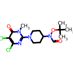 Cn1c(N2CCC(N(C=O)OC(C)(C)C)CC2)nc(Cl)c(Cl)c1=O